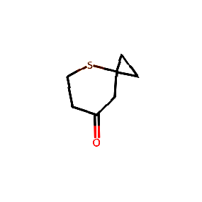 O=C1CCSC2(CC2)C1